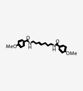 COc1ccc(C(=O)NCC/C=C/CCCNC(=O)c2ccc(OC)cc2)cc1